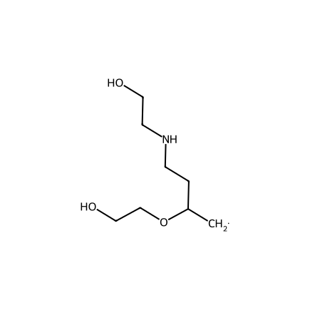 [CH2]C(CCNCCO)OCCO